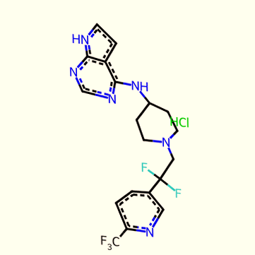 Cl.FC(F)(F)c1ccc(C(F)(F)CN2CCC(Nc3ncnc4[nH]ccc34)CC2)cn1